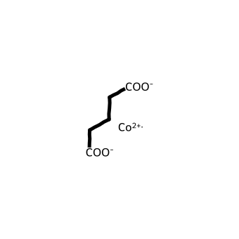 O=C([O-])CCCC(=O)[O-].[Co+2]